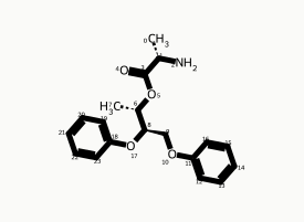 C[C@H](N)C(=O)O[C@@H](C)[C@@H](COc1ccccc1)Oc1ccccc1